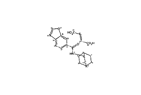 O=C(NC1CN2CCC1CC2)c1ccc2ncoc2c1.O=C(O)C=CC(=O)O